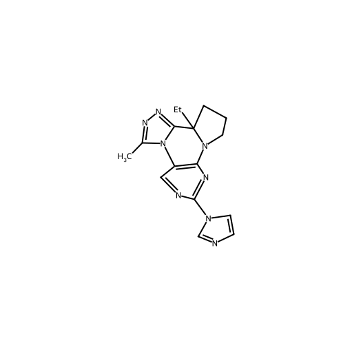 CCC12CCCN1c1nc(-n3ccnc3)ncc1-n1c(C)nnc12